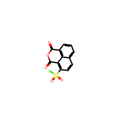 O=C1OC(=O)c2c(S(=O)(=O)Cl)ccc3cccc1c23